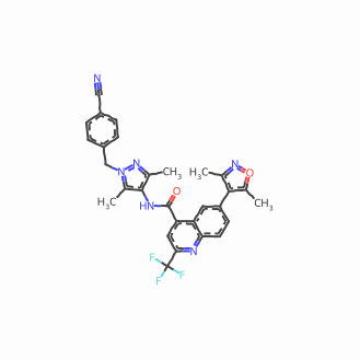 Cc1nn(Cc2ccc(C#N)cc2)c(C)c1NC(=O)c1cc(C(F)(F)F)nc2ccc(-c3c(C)noc3C)cc12